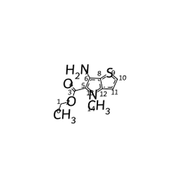 CCOC(=O)c1c(N)c2sccc2n1C